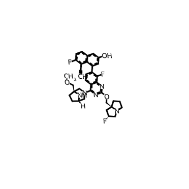 C#Cc1c(F)ccc2cc(O)cc(-c3ccc4c(N5C[C@@H]6CC[C@](COC)(C5)N6)nc(OC[C@@]56CCCN5C[C@H](F)C6)nc4c3F)c12